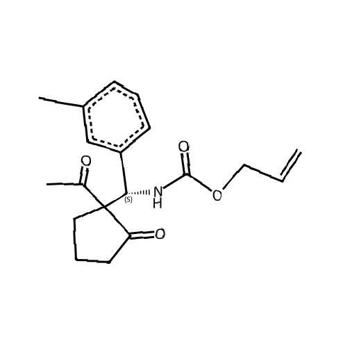 C=CCOC(=O)N[C@@H](c1cccc(C)c1)C1(C(C)=O)CCCC1=O